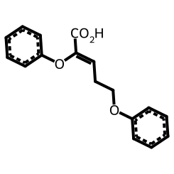 O=C(O)C(=CCCOc1ccccc1)Oc1ccccc1